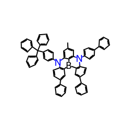 Cc1cc2c3c(c1)N(c1ccc(C(c4ccccc4)(c4ccccc4)c4ccccc4)cc1)c1ccc(-c4ccccc4)cc1B3c1cc(-c3ccccc3)ccc1N2c1ccc(-c2ccccc2)cc1